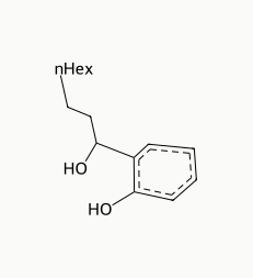 CCCCCCCCC(O)c1ccccc1O